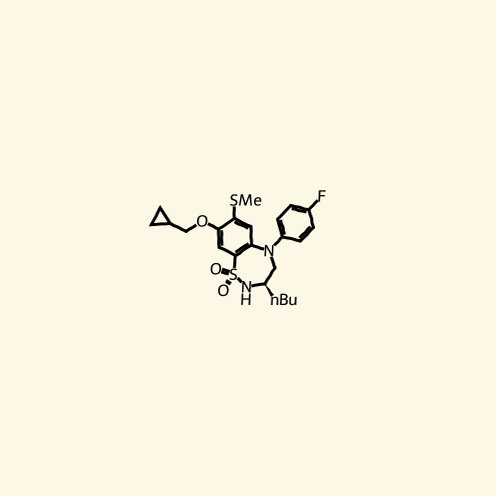 CCCC[C@@H]1CN(c2ccc(F)cc2)c2cc(SC)c(OCC3CC3)cc2S(=O)(=O)N1